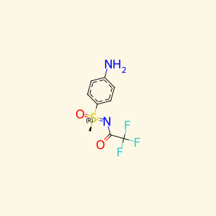 C[S@](=O)(=NC(=O)C(F)(F)F)c1ccc(N)cc1